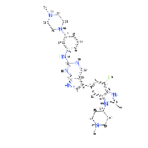 Cc1nc2c(F)cc(-c3c[nH]c4nc(Nc5cccc(N6CCN(C)CC6)c5)ncc34)cc2n1C1CCN(C)CC1